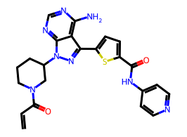 C=CC(=O)N1CCCC(n2nc(-c3ccc(C(=O)Nc4ccncc4)s3)c3c(N)ncnc32)C1